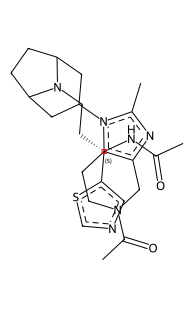 CC(=O)N[C@@H](CCN1C2CCC1CC(n1c(C)nc3c1CCN(C(C)=O)C3)C2)c1cncs1